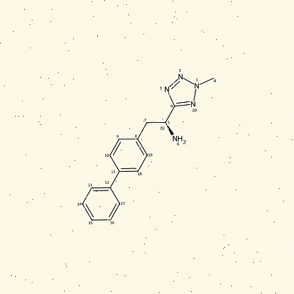 Cn1nnc([C@@H](N)Cc2ccc(-c3ccccc3)cc2)n1